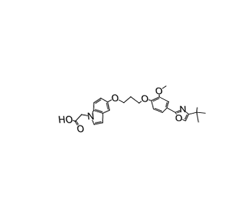 COc1cc(-c2nc(C(C)(C)C)co2)ccc1OCCCOc1ccc2c(ccn2CC(=O)O)c1